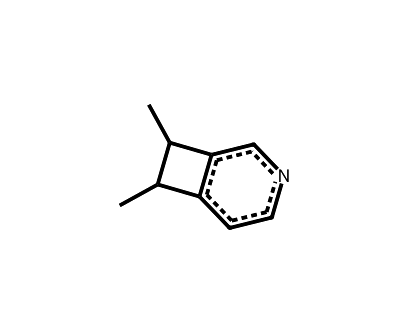 CC1c2ccncc2C1C